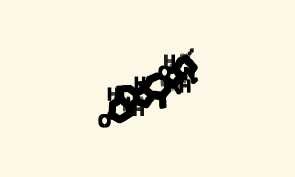 CC1=C2C[C@H]3C(CC[C@@H]4CC(=O)CC[C@@]43C)[C@@H]2CC[C@@]2(C1)O[C@@H]1C[C@H](C)CN(C)[C@H]1[C@H]2C